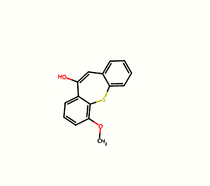 COc1cccc2c1Sc1ccccc1C=C2O